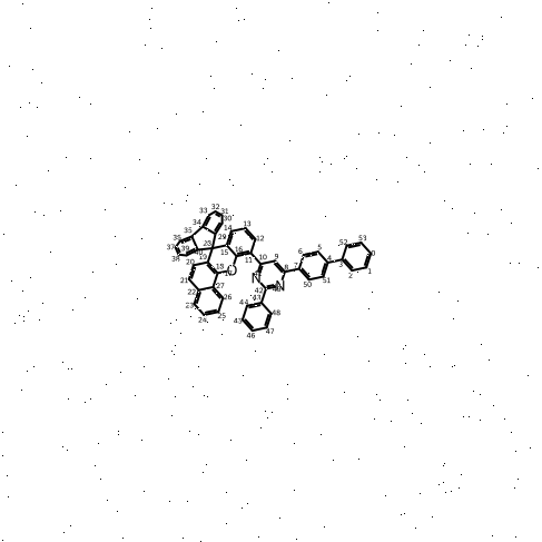 c1ccc(-c2ccc(-c3cc(-c4cccc5c4Oc4c(ccc6ccccc46)C54c5ccccc5-c5ccccc54)nc(-c4ccccc4)n3)cc2)cc1